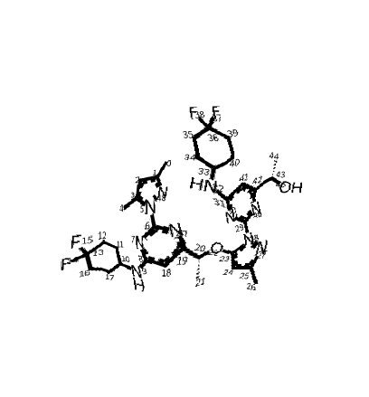 Cc1cc(C)n(-c2nc(NC3CCC(F)(F)CC3)cc([C@@H](C)Oc3cc(C)nn3-c3nc(NC4CCC(F)(F)CC4)cc([C@H](C)O)n3)n2)n1